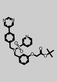 CC(C)(C)OC(=O)COc1cccc(CN(Cc2ccc(-c3cncnc3)cc2)S(=O)(=O)c2cccnc2)c1